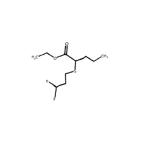 CCCC(SCCC(F)F)C(=O)OCC